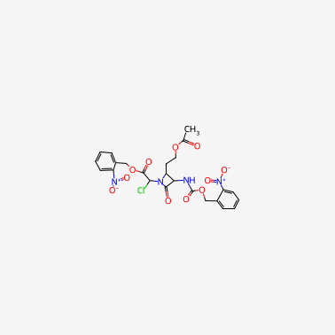 CC(=O)OCCC1C(NC(=O)OCc2ccccc2[N+](=O)[O-])C(=O)N1C(Cl)C(=O)OCc1ccccc1[N+](=O)[O-]